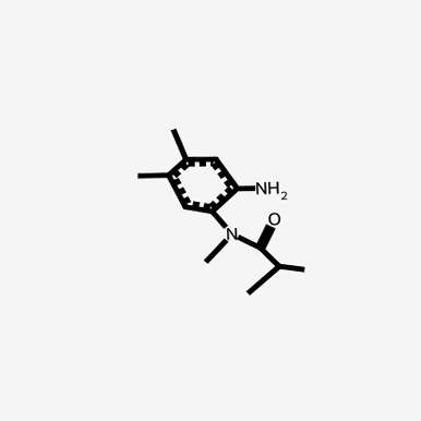 Cc1cc(N)c(N(C)C(=O)C(C)C)cc1C